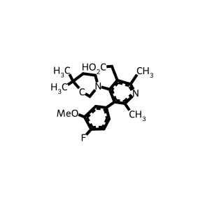 COc1cc(-c2c(C)nc(C)c(CC(=O)O)c2N2CCC(C)(C)CC2)ccc1F